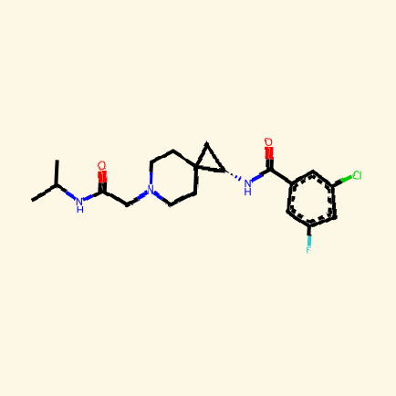 CC(C)NC(=O)CN1CCC2(CC1)C[C@@H]2NC(=O)c1cc(F)cc(Cl)c1